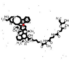 CCC(CO)OC(COC(=O)NCCC(=O)N[C@@H](C)C(=O)OCCCNC(=O)[C@]1(O)C2N(C)c3cc(OC)c([C@@]4(C(=O)OC)C[C@@H]5C[N@](CCc6c4[nH]c4ccccc64)CC(O)(CC)C5)cc3[C@@]23CCN2CC=C[C@](CC)(C23)[C@H]1O)OC